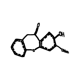 COc1cc2c(cc1O)C(=O)Cc1ccccc1S2